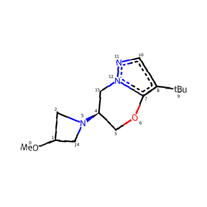 COC1CN([C@@H]2COc3c(C(C)(C)C)cnn3C2)C1